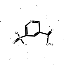 CCP(=O)(CC)c1cncc(C(=O)OC)c1